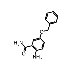 NC(=O)c1cc(OCc2ccccc2)ccc1N